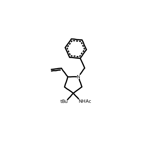 C=CC1CC(NC(C)=O)(C(C)(C)C)CN1Cc1ccccc1